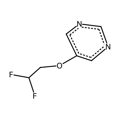 FC(F)COc1cncnc1